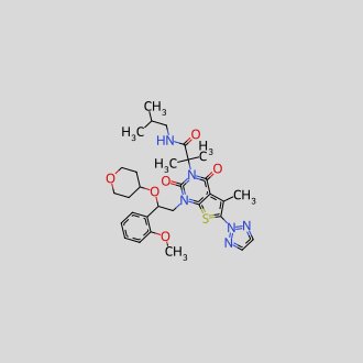 COc1ccccc1C(Cn1c(=O)n(C(C)(C)C(=O)NCC(C)C)c(=O)c2c(C)c(-n3nccn3)sc21)OC1CCOCC1